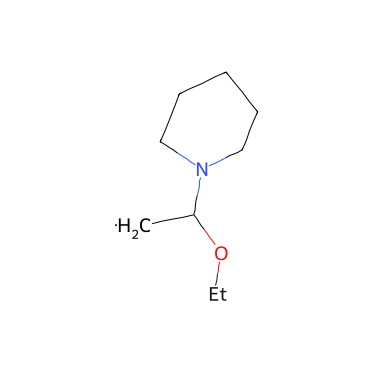 [CH2]C(OCC)N1CCCCC1